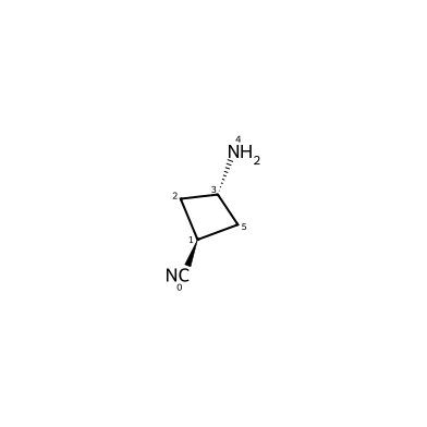 N#C[C@H]1C[C@H](N)C1